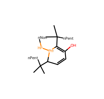 CCCCCCCCCP[PH]1C(C(C)(C)CCCCC)=C(O)C=CC1C(C)(C)CCCCC